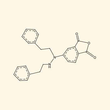 O=C1OC(=O)c2cc(N(CCc3ccccc3)NCCc3ccccc3)ccc21